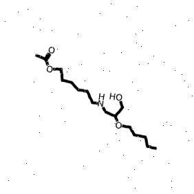 CCCCCOC(CO)CNCCCCCCOC(C)=O